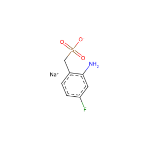 Nc1cc(F)ccc1CS(=O)(=O)[O-].[Na+]